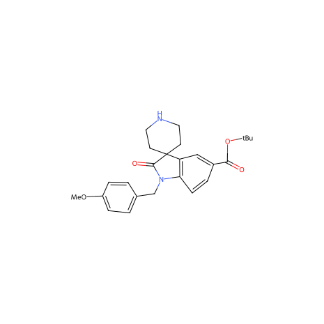 COc1ccc(CN2C(=O)C3(CCNCC3)c3cc(C(=O)OC(C)(C)C)ccc32)cc1